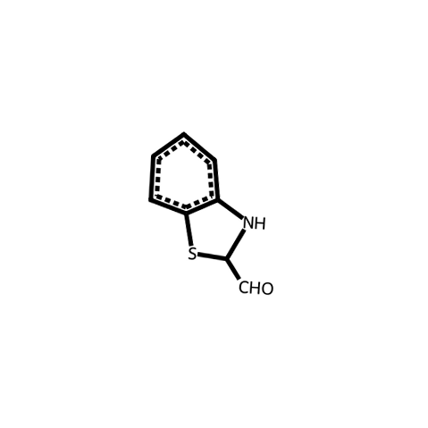 O=CC1Nc2ccccc2S1